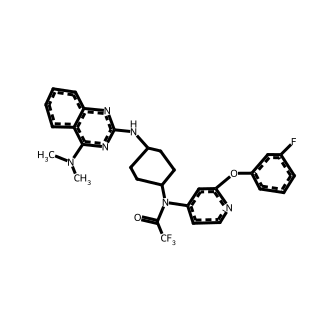 CN(C)c1nc(NC2CCC(N(C(=O)C(F)(F)F)c3ccnc(Oc4cccc(F)c4)c3)CC2)nc2ccccc12